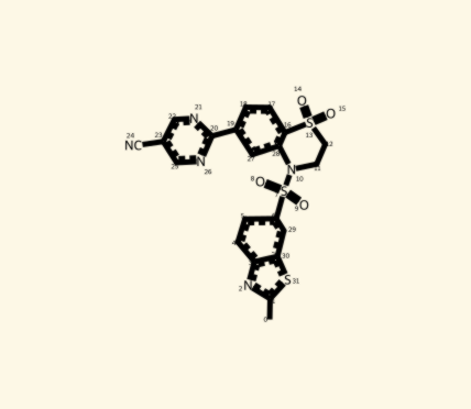 Cc1nc2ccc(S(=O)(=O)N3CCS(=O)(=O)c4ccc(-c5ncc(C#N)cn5)cc43)cc2s1